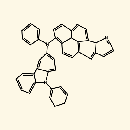 C1=CC2=CC3=C4C(=CC=C5C=CC(N(c6ccccc6)c6ccc7c(c6)c6ccccc6n7C6=CCCC=C6)=C(C=C3)C54)C2N=C1